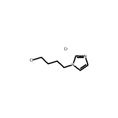 ClCCCCn1ccnc1.[Cr]